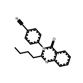 CCCCc1nc2ccccc2c(=O)n1-c1ccc(C#N)cc1